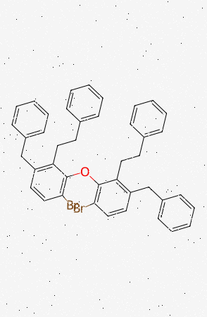 Brc1ccc(Cc2ccccc2)c(CCc2ccccc2)c1Oc1c(Br)ccc(Cc2ccccc2)c1CCc1ccccc1